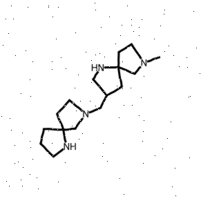 CN1CCC2(CC(CN3CCC4(CCCN4)C3)CN2)C1